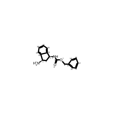 N[C@@H]1C[C@H](NC(=O)OCc2ccccc2)c2ccccc21